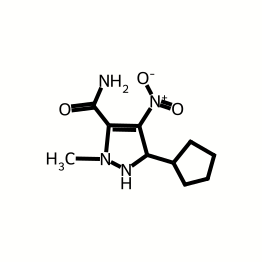 CN1NC(C2CCCC2)C([N+](=O)[O-])=C1C(N)=O